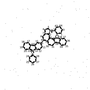 c1ccc(-n2ccc3cc(-c4ccc5c(c4)c4ccccc4n5-c4ccccc4)c4ccc5c6ccccc6oc5c4c32)cc1